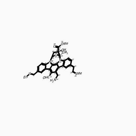 CCSCc1ccc2c(c1)c1c(C=O)c(CN)c3c4cc(CCSC)ccc4n4c3c1n2C1C[C@](O)(C(=O)OC)[C@]4(C)O1